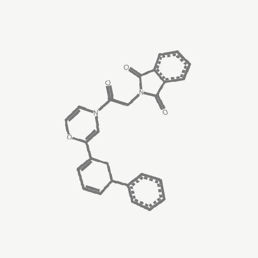 O=C(CN1C(=O)c2ccccc2C1=O)N1C=COC(C2=CC=CC(c3ccccc3)C2)=C1